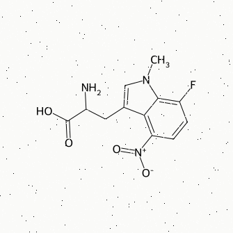 Cn1cc(CC(N)C(=O)O)c2c([N+](=O)[O-])ccc(F)c21